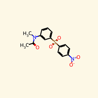 CC(=O)N(C)c1cccc(S(=O)(=O)c2ccc([N+](=O)[O-])cc2)c1